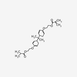 C=C(C)C(=O)OCCOC1=CCC(C(C)(C)C2C=CC(OCCOC(=O)C(C)C)=CC2)C=C1